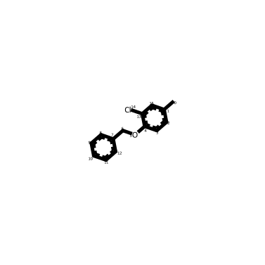 [CH2]c1ccc(OCc2ccccc2)c(Cl)c1